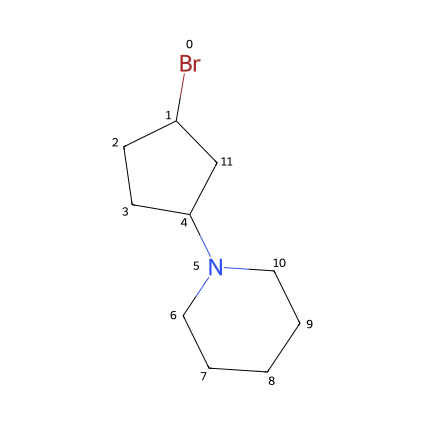 BrC1CCC(N2CCCCC2)C1